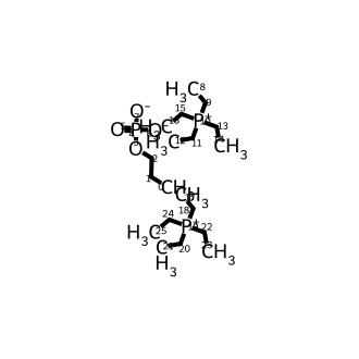 CCCOP(=O)([O-])[O-].CC[P+](CC)(CC)CC.CC[P+](CC)(CC)CC